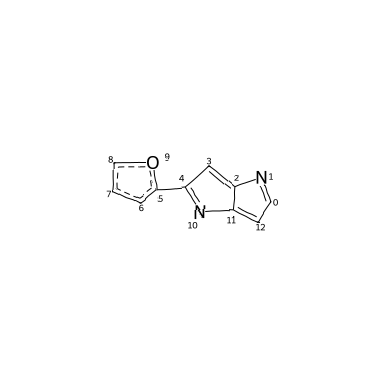 C1=NC2=CC(c3ccco3)=NC2=C1